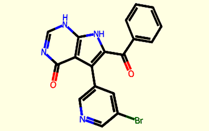 O=C(c1ccccc1)c1[nH]c2[nH]cnc(=O)c2c1-c1cncc(Br)c1